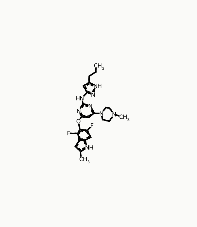 CCCc1cc(Nc2nc(Oc3c(F)cc4[nH]c(C)cc4c3F)cc(N3CCN(C)CC3)n2)n[nH]1